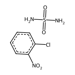 NS(N)(=O)=O.O=[N+]([O-])c1ccccc1Cl